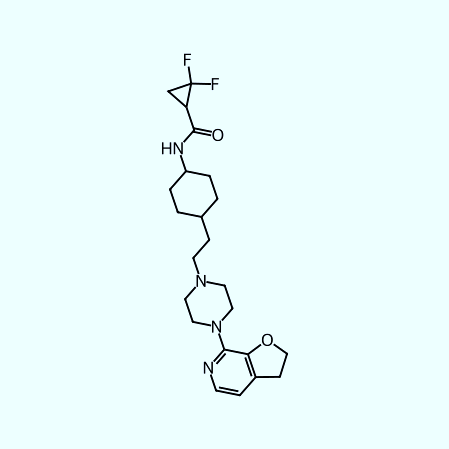 O=C(NC1CCC(CCN2CCN(c3nccc4c3OCC4)CC2)CC1)C1CC1(F)F